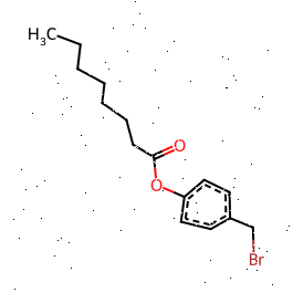 CCCCCCCC(=O)Oc1ccc(CBr)cc1